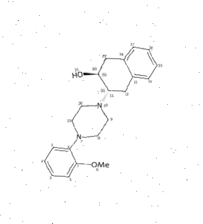 COc1ccccc1N1CCN([C@H]2Cc3ccccc3C[C@@H]2O)CC1